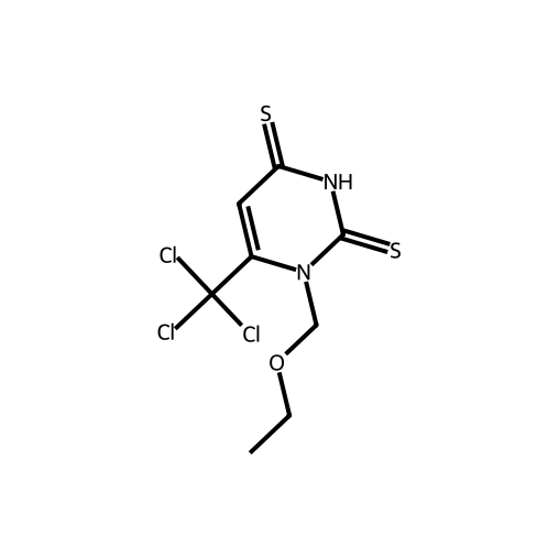 CCOCn1c(C(Cl)(Cl)Cl)cc(=S)[nH]c1=S